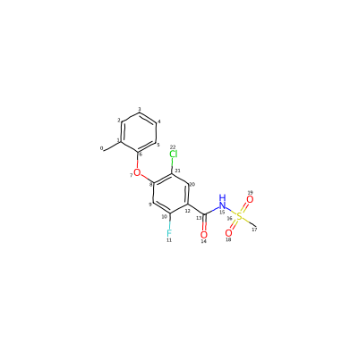 Cc1ccccc1Oc1cc(F)c(C(=O)NS(C)(=O)=O)cc1Cl